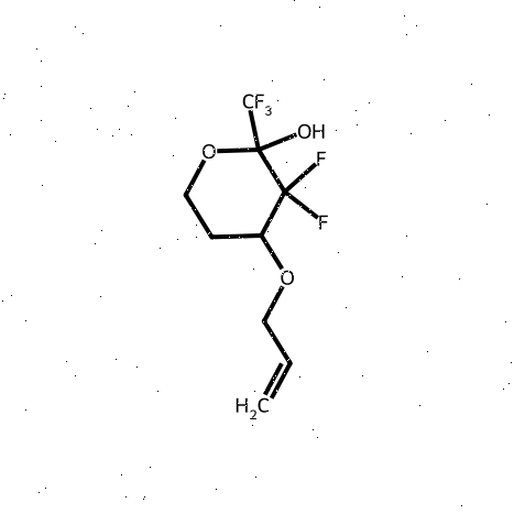 C=CCOC1CCOC(O)(C(F)(F)F)C1(F)F